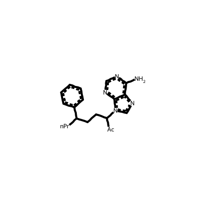 CCCC(CCC(C(C)=O)n1cnc2c(N)ncnc21)c1ccccc1